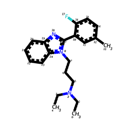 CCN(CC)CCCn1c(-c2cc(C)ccc2F)nc2ccccc21